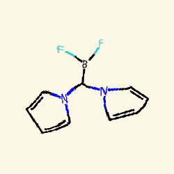 FB(F)C(n1cccc1)n1cccc1